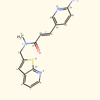 CN(Cc1cc2cccnc2s1)C(=O)/C=C/c1ccc(N)nc1